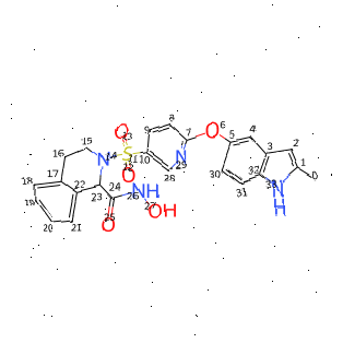 Cc1cc2cc(Oc3ccc(S(=O)(=O)N4CCc5ccccc5C4C(=O)NO)cn3)ccc2[nH]1